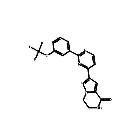 O=C1NCCn2nc(-c3ccnc(-c4cccc(OC(F)(F)F)c4)n3)cc21